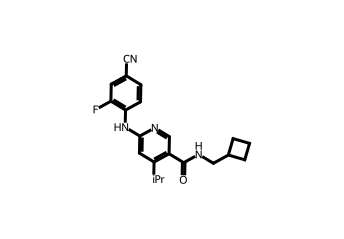 CC(C)c1cc(Nc2ccc(C#N)cc2F)ncc1C(=O)NCC1CCC1